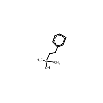 C[Si](C)(O)CCc1ccccc1